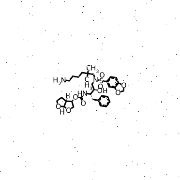 CC(C)(CCCCN)CN(C[C@@H](O)[C@H](Cc1ccccc1)NC(=O)O[C@H]1CO[C@H]2OCC[C@H]21)S(=O)(=O)c1ccc2c(c1)OCO2